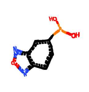 OP(O)c1ccc2nonc2c1